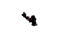 C=C(/C=C/CNCCOc1ccc(/C(=C(/CC)c2ccccc2)c2ccc3[nH]ncc3c2)cn1)N(C)C